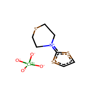 [O-][Cl+3]([O-])([O-])[O-].c1csc(=[N+]2CCSCC2)s1